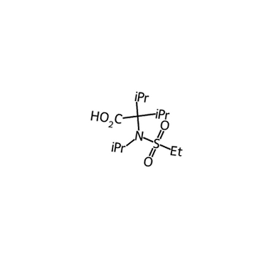 CCS(=O)(=O)N(C(C)C)C(C(=O)O)(C(C)C)C(C)C